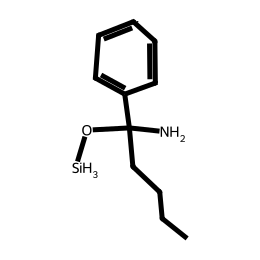 CCCCC(N)(O[SiH3])c1cc[c]cc1